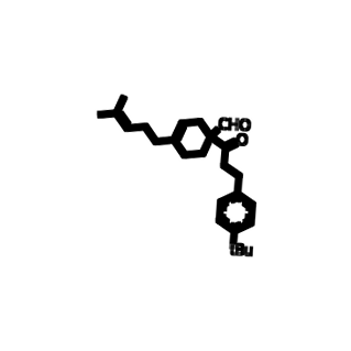 CC(C)=CCCC1=CCC(C=O)(C(=O)CCc2ccc(C(C)(C)C)cc2)CC1